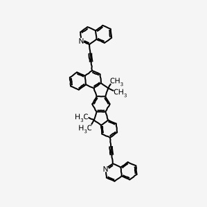 CC1(C)c2cc(C#Cc3nccc4ccccc34)ccc2-c2cc3c(cc21)-c1c(cc(C#Cc2nccc4ccccc24)c2ccccc12)C3(C)C